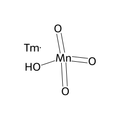 [O]=[Mn](=[O])(=[O])[OH].[Tm]